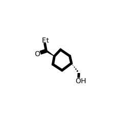 CCC(=O)[C@H]1CC[C@H](CO)CC1